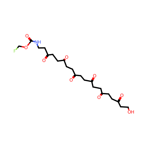 O=C(CCO)CCC(=O)CCC(=O)CCC(=O)CCC(=O)CCC(=O)CCNC(=O)OCF